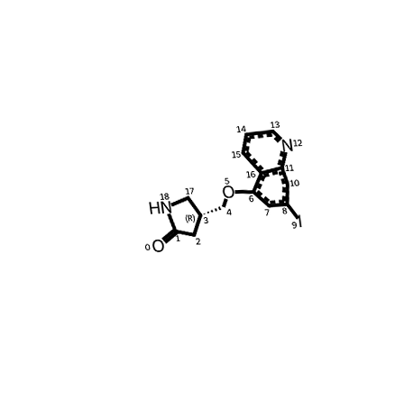 O=C1C[C@@H](COc2cc(I)cc3ncccc23)CN1